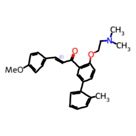 COc1ccc(/C=C/C(=O)c2cc(-c3ccccc3C)ccc2OCCN(C)C)cc1